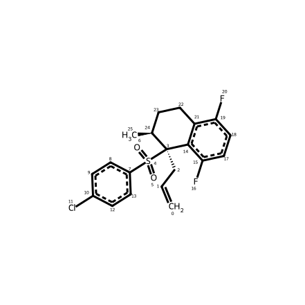 C=CC[C@@]1(S(=O)(=O)c2ccc(Cl)cc2)c2c(F)ccc(F)c2CC[C@@H]1C